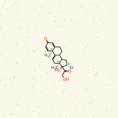 CC[C@H]1CC2C3CCC4=CC(=O)C=C[C@]4(C)C3=CC[C@]2(C)[C@@]1(O)C(=O)CO